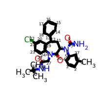 Cc1cccc(N(C(N)=O)C2CC(c3ccccc3)c3cc(Cl)ccc3N(CC(=O)NC(C)(C)C)C2=O)c1